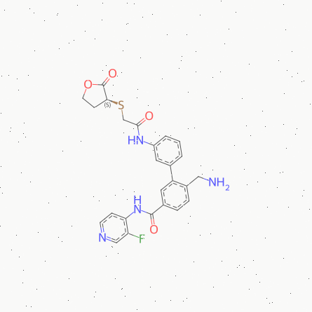 NCc1ccc(C(=O)Nc2ccncc2F)cc1-c1cccc(NC(=O)CS[C@H]2CCOC2=O)c1